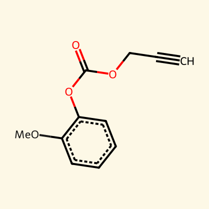 C#CCOC(=O)Oc1ccccc1OC